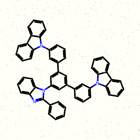 c1ccc(-c2nc3ccccc3n2-c2cc(-c3cccc(-n4c5ccccc5c5ccccc54)c3)cc(-c3cccc(-n4c5ccccc5c5ccccc54)c3)c2)cc1